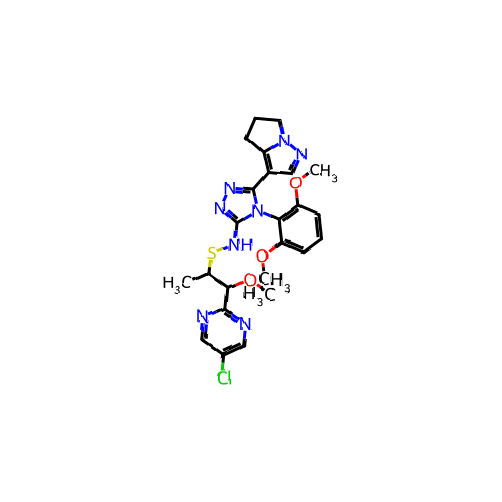 COc1cccc(OC)c1-n1c(NSC(C)C(OC)c2ncc(Cl)cn2)nnc1-c1cnn2c1CCC2